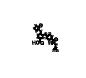 O=C(O)c1ccc(CN2CCCC2=O)c(Cc2ccc(C(=O)NCC3CC3)cc2)c1